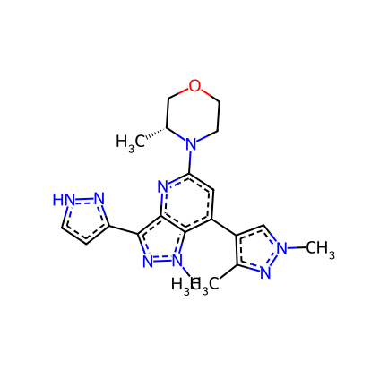 Cc1nn(C)cc1-c1cc(N2CCOC[C@H]2C)nc2c(-c3cc[nH]n3)nn(C)c12